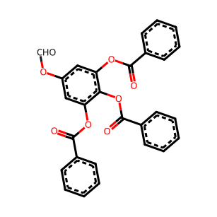 O=COc1cc(OC(=O)c2ccccc2)c(OC(=O)c2ccccc2)c(OC(=O)c2ccccc2)c1